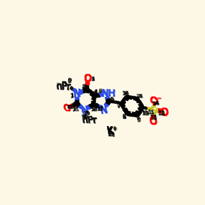 CCCn1c(=O)c2[nH]c(-c3ccc(S(=O)(=O)[O-])cc3)nc2n(CCC)c1=O.[K+]